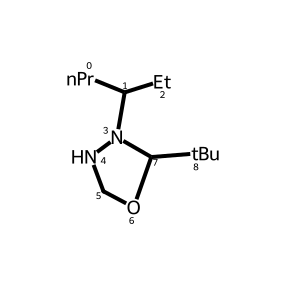 CCCC(CC)N1NCOC1C(C)(C)C